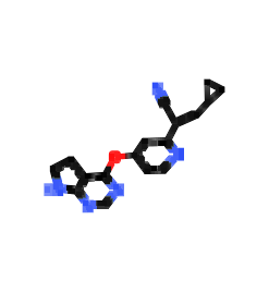 N#CC(=CC1CC1)c1cc(Oc2ncnc3[nH]ccc23)ccn1